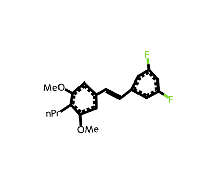 CCCc1c(OC)cc(C=Cc2cc(F)cc(F)c2)cc1OC